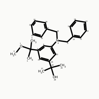 COC(C)(C)c1cc(N(Cc2ccccc2)Cc2ccccc2)cc(C(C)(C)O)c1